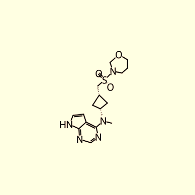 CN(c1ncnc2[nH]ccc12)[C@H]1C[C@@H](CS(=O)(=O)N2CCCOC2)C1